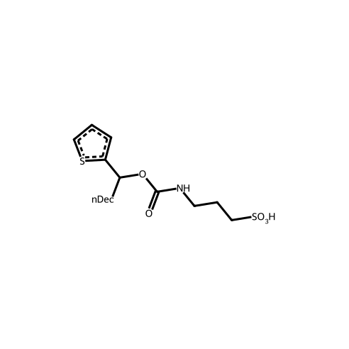 CCCCCCCCCCC(OC(=O)NCCCS(=O)(=O)O)c1cccs1